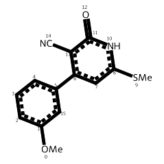 COc1cccc(-c2cc(SC)[nH]c(=O)c2C#N)c1